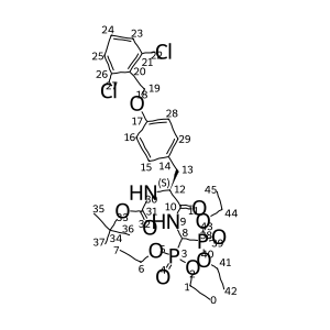 CCOP(=O)(OCC)C(NC(=O)[C@H](Cc1ccc(OCc2c(Cl)cccc2Cl)cc1)NC(=O)OC(C)(C)C)P(=O)(OCC)OCC